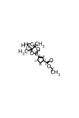 CCOC(=O)C1C=C(B2OC(C)(C)C(C)(C)O2)CC1